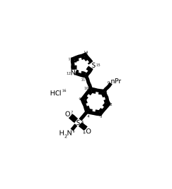 CCCc1ccc(S(N)(=O)=O)cc1-c1nccs1.Cl